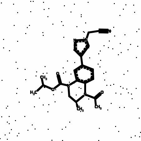 CC(=O)N1c2ccc(-c3cnn(CC#N)c3)cc2N(C(=O)OC(C)C)C[C@@H]1C